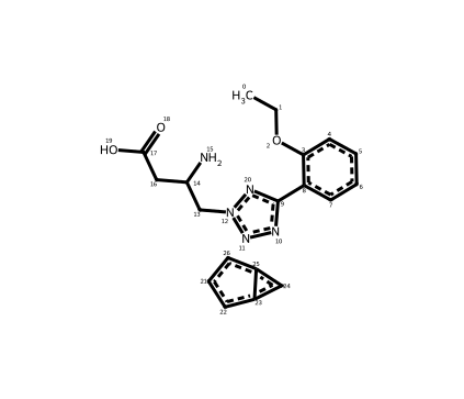 CCOc1ccccc1-c1nnn(CC(N)CC(=O)O)n1.c1cc2cc-2c1